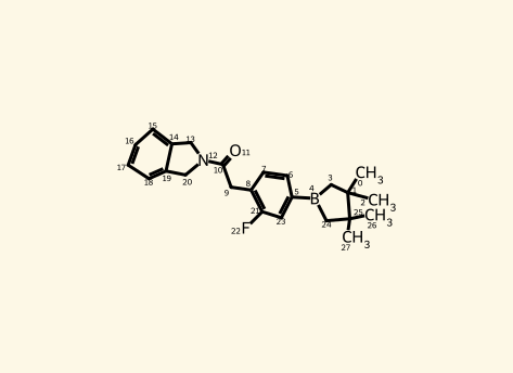 CC1(C)CB(c2ccc(CC(=O)N3Cc4ccccc4C3)c(F)c2)CC1(C)C